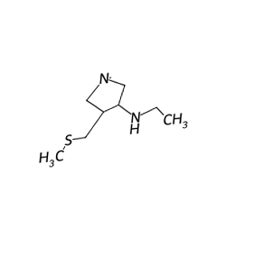 CCNC1C[N]CC1CSC